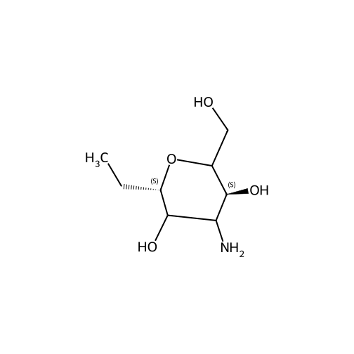 CC[C@@H]1OC(CO)[C@@H](O)C(N)C1O